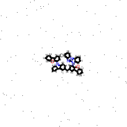 Cc1cc(-n2c3ccccc3c3cc(Cc4cc(-n5c6ccccc6n6c7ccccc7nc56)c5oc6ccccc6c5c4)ccc32)c2oc3ccccc3c2c1